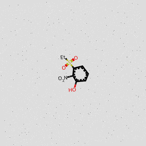 CCS(=O)(=O)c1cccc(O)c1[N+](=O)[O-]